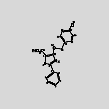 CCOC(=O)c1sc(-c2ccccc2)nc1OCc1ccc(Cl)cc1